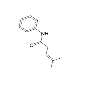 CC(C)=CCC(=O)Nc1ccccc1